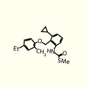 CCc1ccc(OCc2c(NC(=O)SC)cccc2C2CC2)c(C)c1